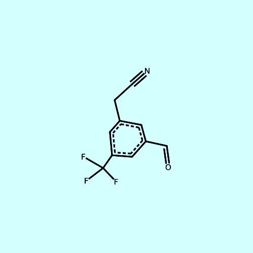 N#CCc1cc(C=O)cc(C(F)(F)F)c1